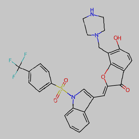 O=C1/C(=C/c2cn(S(=O)(=O)c3ccc(C(F)(F)F)cc3)c3ccccc23)Oc2c1ccc(O)c2CN1CCNCC1